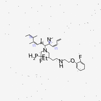 C=C/C=C\C(=N/C)C([C@H](C)/C=C(C)\C(C)=C/C)N(CC(CC)CCNCCOC1=CCCC=C1F)CC(F)(F)P